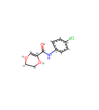 O=C(Nc1ccc(Cl)cc1)C1=COCCO1